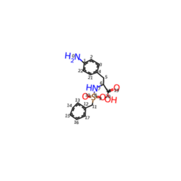 Nc1ccc(CC(NS(=O)(=O)Cc2ccccc2)C(=O)O)cc1